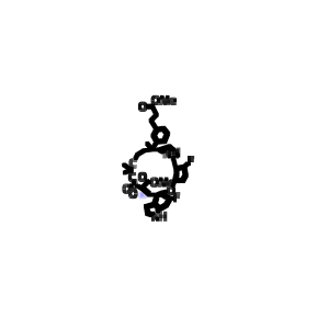 COC(=O)CCc1cccc(C2(C)CCCC(C)(C)CS(=O)(=O)/C(C(=O)OC)=C/c3c(c(F)cc4[nH]ccc34)Oc3ccc(F)c(c3)-c3ncc2[nH]3)c1